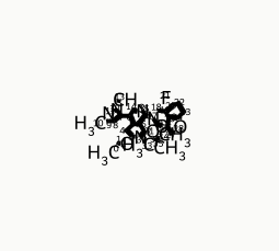 CCOc1cc2c(-c3cc(C)nn3C)cnc(N(Cc3c(F)ccc4c3CCO4)C(=O)OC(C)(C)C)c2cn1